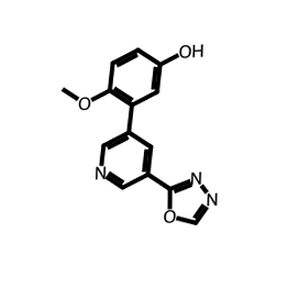 COc1ccc(O)cc1-c1cncc(-c2nnco2)c1